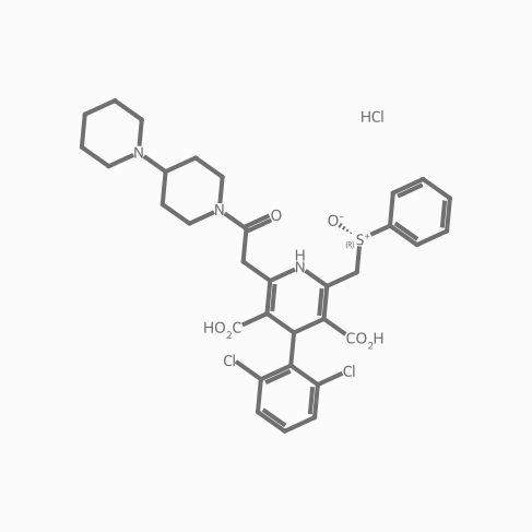 Cl.O=C(O)C1=C(CC(=O)N2CCC(N3CCCCC3)CC2)NC(C[S@+]([O-])c2ccccc2)=C(C(=O)O)C1c1c(Cl)cccc1Cl